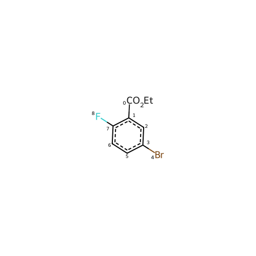 CCOC(=O)c1cc(Br)ccc1F